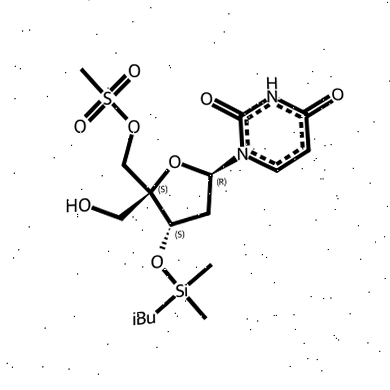 CCC(C)[Si](C)(C)O[C@H]1C[C@H](n2ccc(=O)[nH]c2=O)O[C@@]1(CO)COS(C)(=O)=O